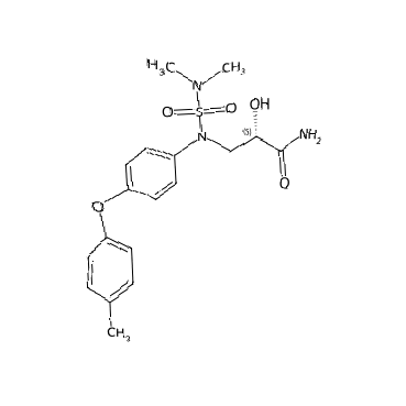 Cc1ccc(Oc2ccc(N(C[C@H](O)C(N)=O)S(=O)(=O)N(C)C)cc2)cc1